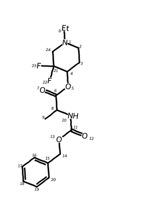 CCN1CCC(OC(=O)C(C)NC(=O)OCc2ccccc2)C(F)(F)C1